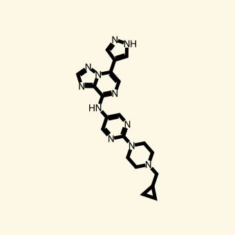 c1nc2c(Nc3cnc(N4CCN(CC5CC5)CC4)nc3)ncc(-c3cn[nH]c3)n2n1